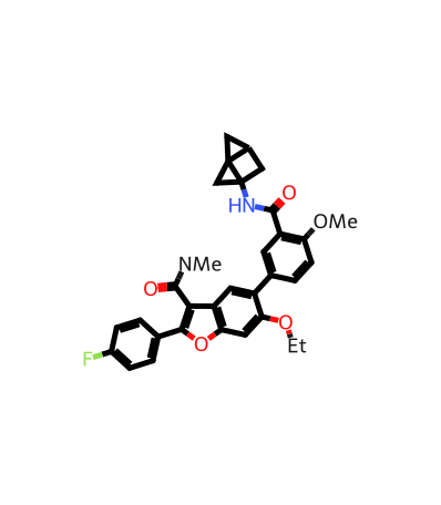 CCOc1cc2oc(-c3ccc(F)cc3)c(C(=O)NC)c2cc1-c1ccc(OC)c(C(=O)NC23CC4CC42C3)c1